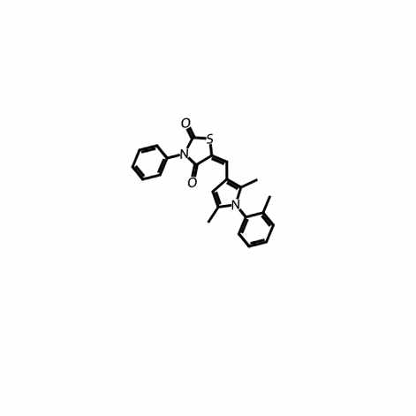 Cc1ccccc1-n1c(C)cc(C=C2SC(=O)N(c3ccccc3)C2=O)c1C